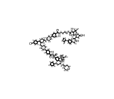 Cc1ncsc1-c1ccc([C@H](C)NC(=O)[C@@H]2C[C@@H](O)CN2C(=O)[C@@H](NC(=O)COCCCNC(=O)c2ccc(N3CCN(C[C@]4(C)CCC(c5ccc(Cl)cc5)=C(CN5CCN(c6ccc(C(=O)NS(=O)(=O)c7ccc(N[C@H](CCN8CCCOCC8)CSc8ccccc8)c(S(=O)(=O)C(F)(F)F)c7)cc6)CC5)C4)CC3)nn2)C(C)(C)C)cc1